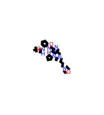 C=C(Nc1ccccc1NC(=O)c1ccc(CN(CCCCN2CCOCC2)C(=C)NC2CCCC2)cn1)OC(C)(C)C